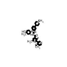 COc1ccncc1-c1nc(C)cc(C(=O)Nc2nc3cc(C4CCN(C)CC4)ccc3n2[C@H]2CC[C@@](C)(O)CC2)c1F